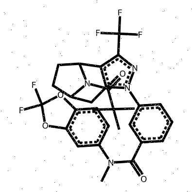 CN(C(=O)c1cccc(-n2nc(C(F)(F)F)c3c2CC2CCC3N2C(=O)C(C)(C)C)c1)c1ccc2c(c1)OC(F)(F)O2